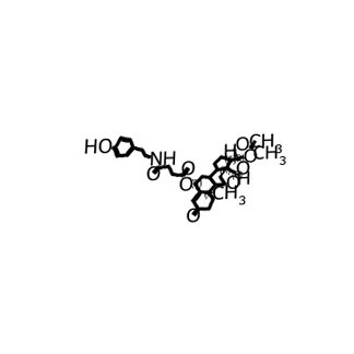 CC1(C)OC[C@]2(O[C@H]3OC4C[C@]35C(CC[C@H]25)C2C[C@@H](OC(=O)CCC(=O)NCCc3ccc(O)cc3)C3=CC(=O)CC[C@]3(C)C42)O1